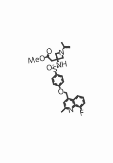 C=C(C)N1CC(CC(=O)OC)(N[S+]([O-])c2ccc(OCc3cc(C)nc4c(F)cccc34)cc2)C1